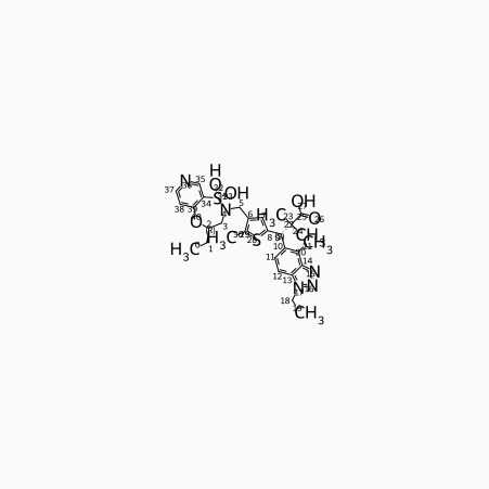 CC[C@@H]1CN(Cc2cc([C@@H](c3ccc4c(nnn4CC)c3C)C(C)(C)C(=O)O)sc2C)S(O)(O)c2cnccc2O1